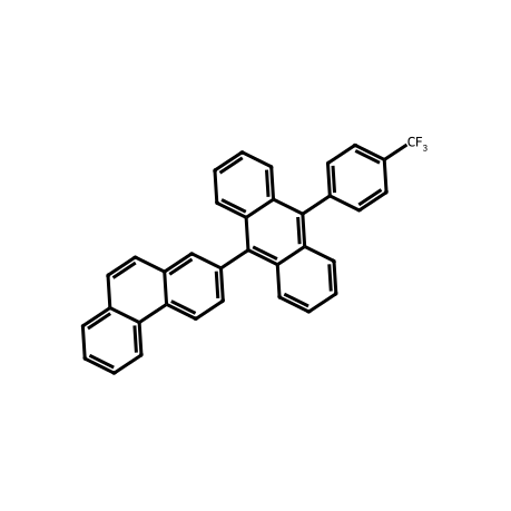 FC(F)(F)c1ccc(-c2c3ccccc3c(-c3ccc4c(ccc5ccccc54)c3)c3ccccc23)cc1